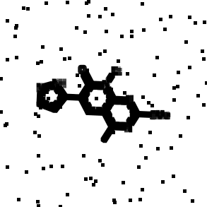 CCn1c(=O)c(-c2ccn[nH]2)cc2c(C)nc(SC)nc21